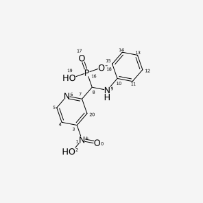 O=[N+](O)c1ccnc(C(Nc2ccccc2)P(=O)([O-])O)c1